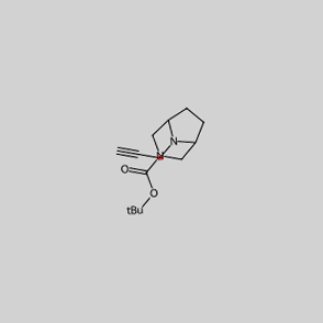 C#CCN1C2CCC1CN(C(=O)OC(C)(C)C)C2